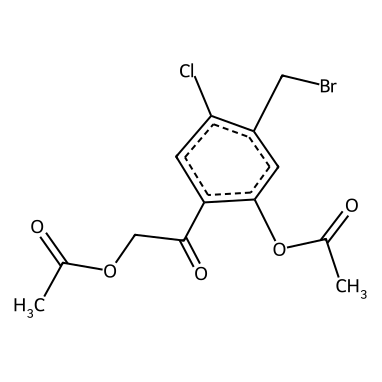 CC(=O)OCC(=O)c1cc(Cl)c(CBr)cc1OC(C)=O